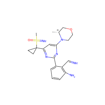 C[C@@H]1COCCN1c1cc(C2(S(C)(=N)=O)CC2)nc(-c2cccc(N)c2C=N)n1